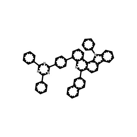 c1ccc(-c2nc(-c3ccccc3)nc(-c3ccc(-c4cccc5c4nc(-c4ccc6ccccc6c4)c4ccc6c7ccccc7n(-c7ccccc7)c6c45)cc3)n2)cc1